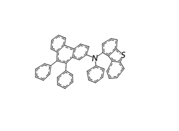 c1ccc(-c2c(-c3ccccc3)c3cc(N(c4ccccc4)c4cccc5sc6ccccc6c45)ccc3c3ccccc23)cc1